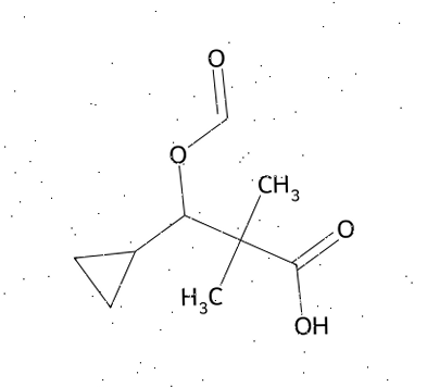 CC(C)(C(=O)O)C(OC=O)C1CC1